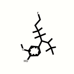 COc1cc(C(C(C)C(C)(C)C)C(C)(C)C(C)(C)CCF)ccc1O